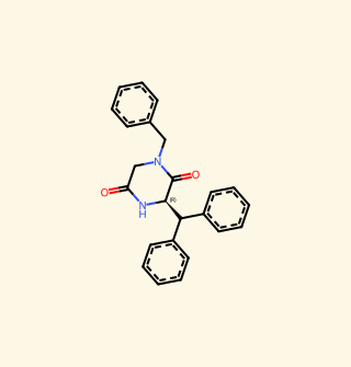 O=C1CN(Cc2ccccc2)C(=O)[C@@H](C(c2ccccc2)c2ccccc2)N1